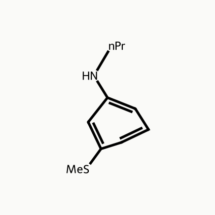 CCCNc1cccc(SC)c1